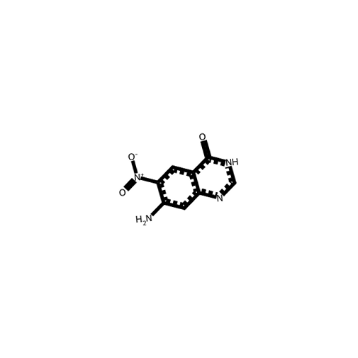 Nc1cc2nc[nH]c(=O)c2cc1[N+](=O)[O-]